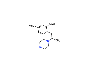 COc1ccc(C=C(C)N2CCNCC2)c(OC)c1